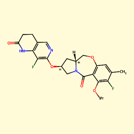 Cc1cc2c(c(OC(C)C)c1F)C(=O)N1C[C@@H](Oc3ncc4c(c3F)NC(=O)CC4)C[C@@H]1CO2